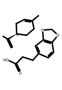 C=C(C)[C@H]1CC=C(C)CC1.O=C(O)CCc1ccc2c(c1)OCO2